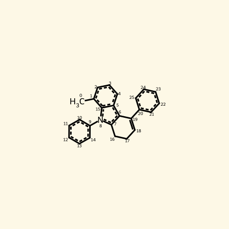 Cc1cccc2c3c(n(-c4ccccc4)c12)CCC=C3c1ccccc1